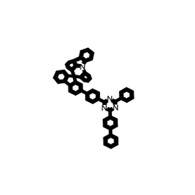 c1ccc(-c2ccc(-c3nc(-c4ccccc4)nc(-c4ccc(-c5ccc6c(c5)C5(c7ccccc7-6)c6ccccc6-n6c7ccccc7c7cccc5c76)cc4)n3)cc2)cc1